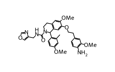 COc1ccc(C2c3cc(OCCc4ccc(N)c(OC)c4)c(OC)cc3CCN2C(=O)NCc2cocn2)c(C)c1